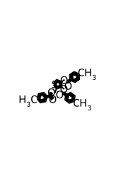 Cc1ccc(C(=O)OC[C@H]2SC[C@@H](OC(=O)c3ccc(C)cc3)[C@H]2OC(=O)c2ccc(C)cc2)cc1